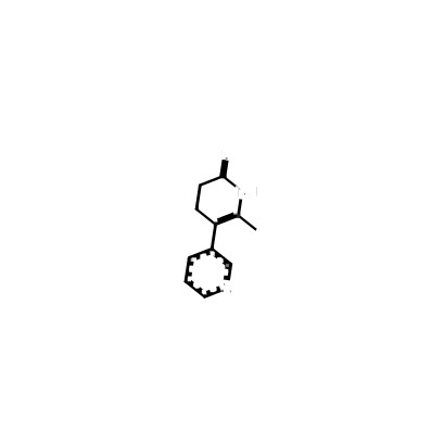 CC1=C(c2cccnc2)CCC(=O)N1